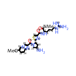 CNC(=O)C(CCCCNC(=N)N)NC(=O)c1csc([C@@H]2C[C@@H](N)CN2C(=O)c2cn3cc(OC)ccc3n2)n1